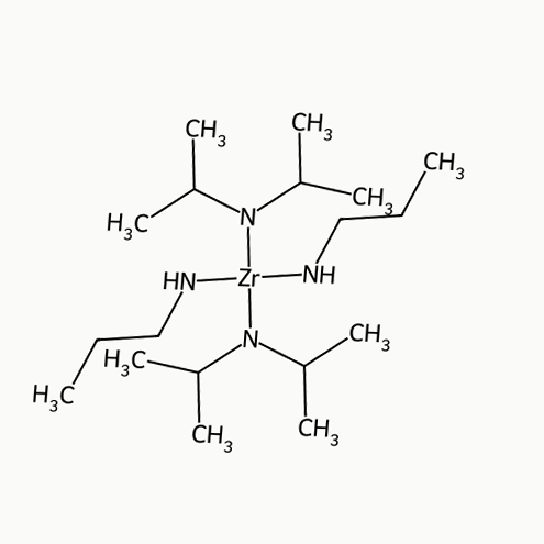 CCC[NH][Zr]([NH]CCC)([N](C(C)C)C(C)C)[N](C(C)C)C(C)C